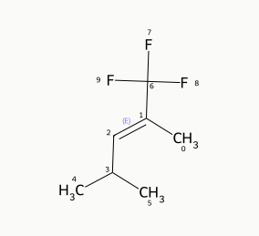 C/C(=C\C(C)C)C(F)(F)F